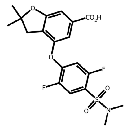 CN(C)S(=O)(=O)c1cc(F)c(Oc2cc(C(=O)O)cc3c2CC(C)(C)O3)cc1F